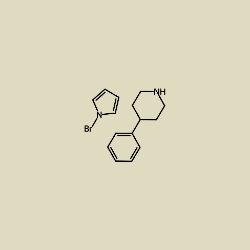 Brn1cccc1.c1ccc(C2CCNCC2)cc1